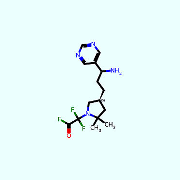 CC1(C)C[C@H](CCC(N)c2cncnc2)CN1C(F)(F)C(=O)F